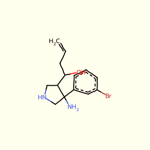 C=CCC(O)C1CNCC1(N)c1cccc(Br)c1